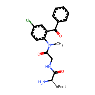 CCCCC[C@H](N)C(=O)NCC(=O)N(C)c1ccc(Cl)cc1C(=O)c1ccccc1